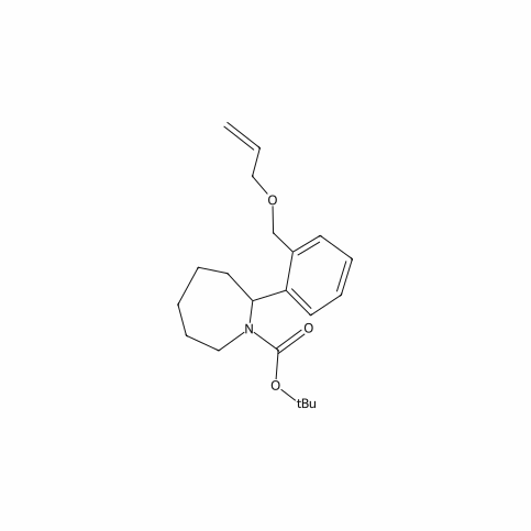 C=CCOCc1ccccc1C1CCCCCN1C(=O)OC(C)(C)C